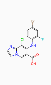 O=C(O)c1cn2ccnc2c(Cl)c1Nc1ccc(Br)cc1F